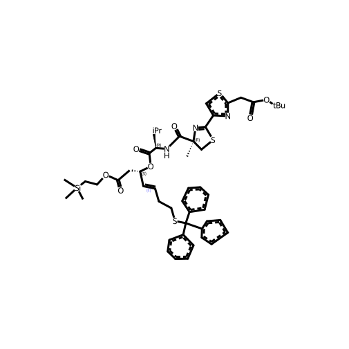 CC(C)[C@@H](NC(=O)[C@]1(C)CSC(c2csc(CC(=O)OC(C)(C)C)n2)=N1)C(=O)O[C@H](/C=C/CCSC(c1ccccc1)(c1ccccc1)c1ccccc1)CC(=O)OCC[Si](C)(C)C